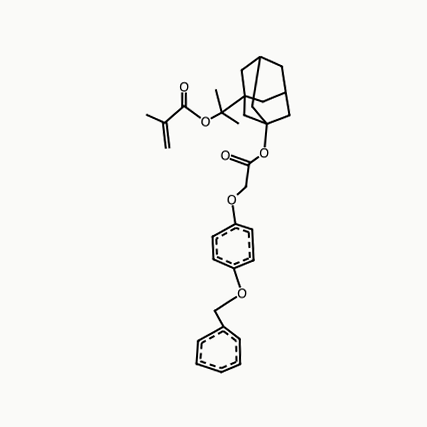 C=C(C)C(=O)OC(C)(C)C12CC3CC(CC(OC(=O)COc4ccc(OCc5ccccc5)cc4)(C3)C1)C2